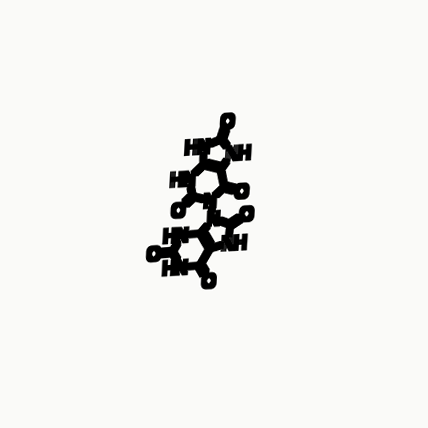 O=c1[nH]c2[nH]c(=O)n(-n3c(=O)[nH]c4c(=O)[nH]c(=O)[nH]c43)c(=O)c2[nH]1